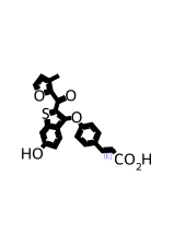 Cc1ccoc1C(=O)c1sc2cc(O)ccc2c1Oc1ccc(/C=C/C(=O)O)cc1